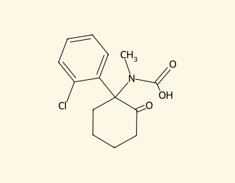 CN(C(=O)O)C1(c2ccccc2Cl)CCCCC1=O